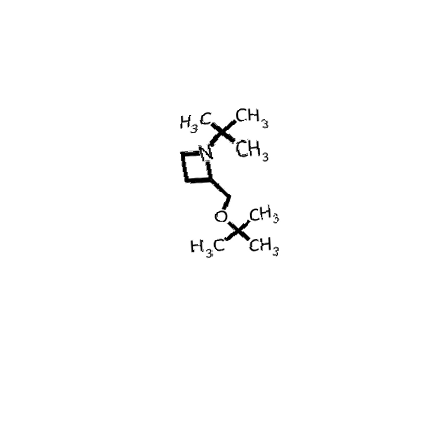 CC(C)(C)OCC1CCN1C(C)(C)C